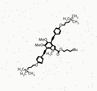 CCC(C)CCCOC(=O)c1cc2c(C#Cc3ccc(OCCC[N+](C)(C)C)cc3)c(OC)c(OC)c(C#Cc3ccc(OCCC[N+](C)(C)C)cc3)c2n1C